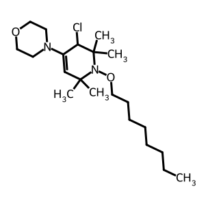 CCCCCCCCON1C(C)(C)C=C(N2CCOCC2)C(Cl)C1(C)C